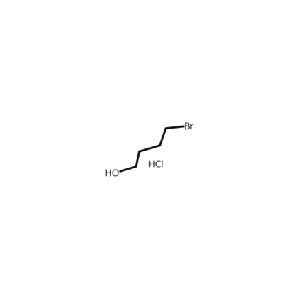 Cl.OCCCCBr